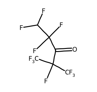 O=C(C(F)(F)C(F)F)C(F)(C(F)(F)F)C(F)(F)F